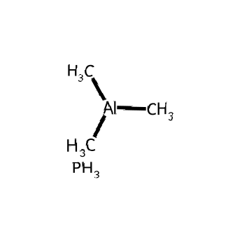 P.[CH3][Al]([CH3])[CH3]